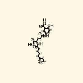 O=C(CCC(NC(=O)CCCCC1CCSS1)C(=O)O)Nc1ccc(O)c(C(=O)O)c1